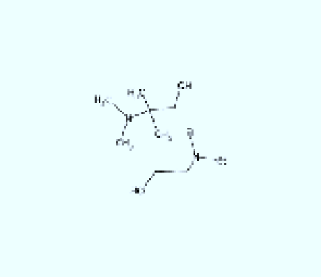 CCN(CC)CCO.CN(C)C(C)(C)CO